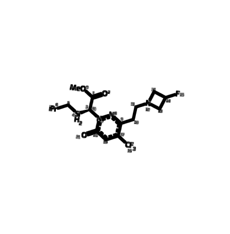 COC(=O)[C@H]([SiH2]CC(C)C)n1nc(CCN2CC(F)C2)c(C(F)(F)F)cc1=O